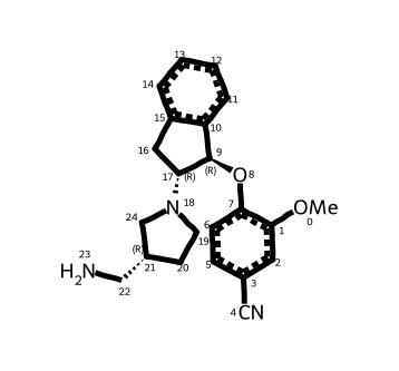 COc1cc(C#N)ccc1O[C@@H]1c2ccccc2C[C@H]1N1CC[C@H](CN)C1